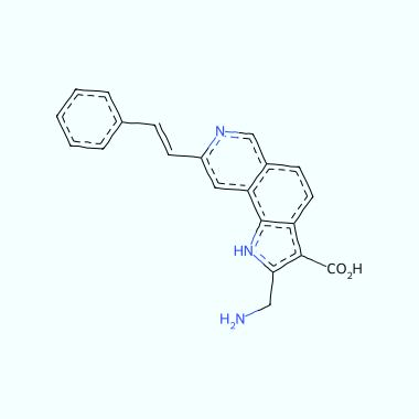 NCc1[nH]c2c(ccc3cnc(/C=C/c4ccccc4)cc32)c1C(=O)O